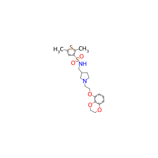 Cc1cc(S(=O)(=O)NCC2CCN(CCOc3cccc4c3OCCO4)C2)c(C)s1